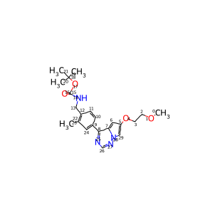 COCCOc1cc2c(-c3ccc(CNC(=O)OC(C)(C)C)c(C)c3)ncnn2c1